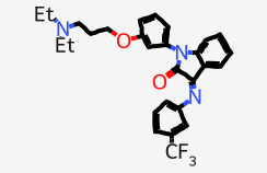 CCN(CC)CCCOc1cccc(N2C(=O)C(=Nc3cccc(C(F)(F)F)c3)c3ccccc32)c1